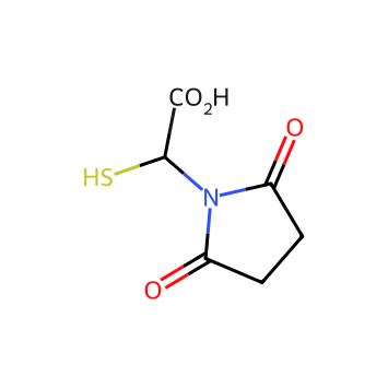 O=C(O)C(S)N1C(=O)CCC1=O